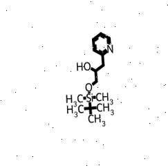 CC(C)(C)[Si](C)(C)OCC(O)Cc1ccccn1